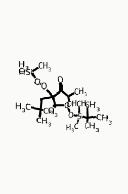 CC(O)C(=O)C(CC(C)(C)C)(OO[SiH](C)C)C(=O)OO[Si](C)(C)C(C)(C)C